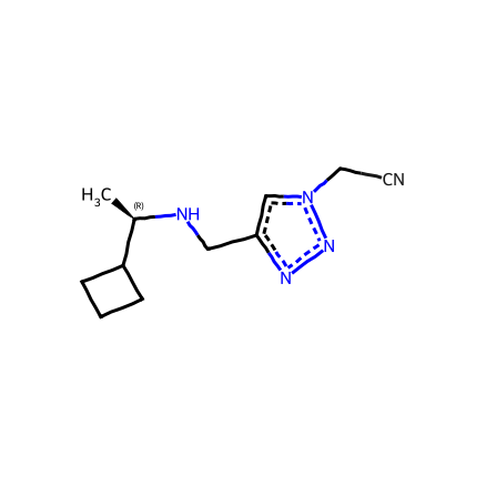 C[C@@H](NCc1cn(CC#N)nn1)C1CCC1